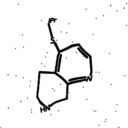 CC(C)Sc1ccnc2c1CCNC2